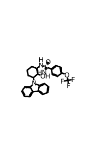 N=S(=O)(NC1CCCC(n2c3ccccc3c3ccccc32)C1O)c1ccc(OC(F)(F)F)cc1